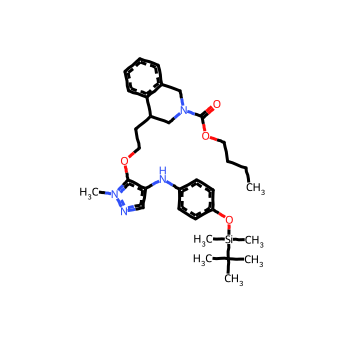 CCCCOC(=O)N1Cc2ccccc2C(CCOc2c(Nc3ccc(O[Si](C)(C)C(C)(C)C)cc3)cnn2C)C1